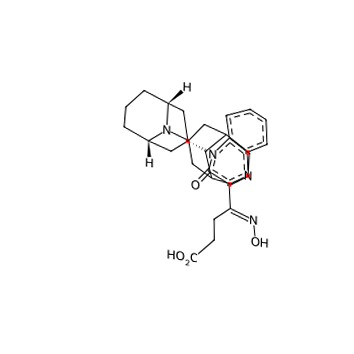 O=C(O)CCC(=NO)c1nc2ccccc2n([C@H]2C[C@H]3CCC[C@@H](C2)N3C2CC3CCCC(C3)C2)c1=O